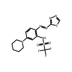 O=S(=O)(Nc1cc(N2CCCCC2)ccc1N=Nc1nncs1)C(F)(F)F